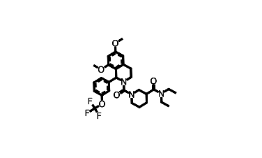 CCN(CC)C(=O)C1CCCN(C(=O)N2CCc3cc(OC)cc(OC)c3C2c2cccc(OC(F)(F)F)c2)C1